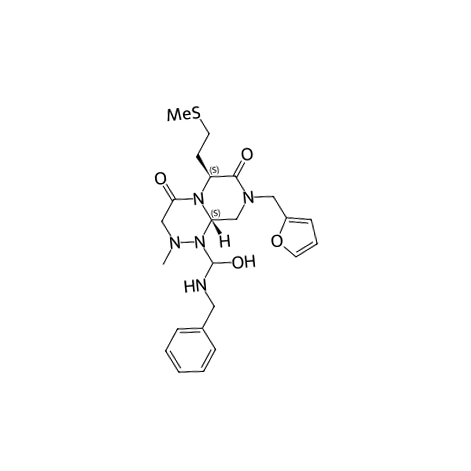 CSCC[C@H]1C(=O)N(Cc2ccco2)C[C@H]2N1C(=O)CN(C)N2C(O)NCc1ccccc1